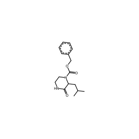 CC(C)CC1C(=O)NCCN1C(=O)OCc1ccccc1